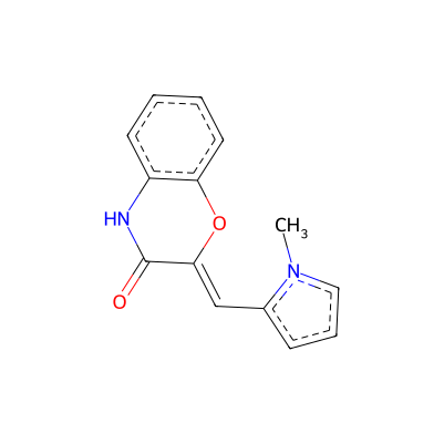 Cn1cccc1C=C1Oc2ccccc2NC1=O